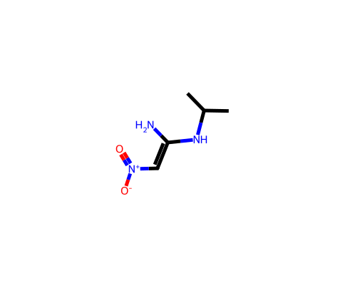 CC(C)NC(N)=C[N+](=O)[O-]